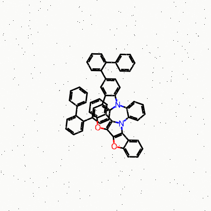 c1ccc(-c2ccccc2-c2ccc3c(c2)c2cc(-c4ccccc4-c4ccccc4)ccc2n3-c2ccccc2-n2c3c4ccccc4oc3c3oc4ccccc4c32)cc1